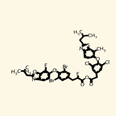 Cc1c(Oc2c(Cl)cc(CC(=O)OC(=O)C(F)Cc3cc(Br)c(Oc4ccc5nc(CC(C)C)oc5c4F)c(Br)c3)cc2Cl)ccc2nc(CC(C)C)sc12